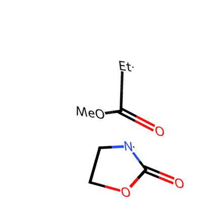 C[CH]C(=O)OC.O=C1[N]CCO1